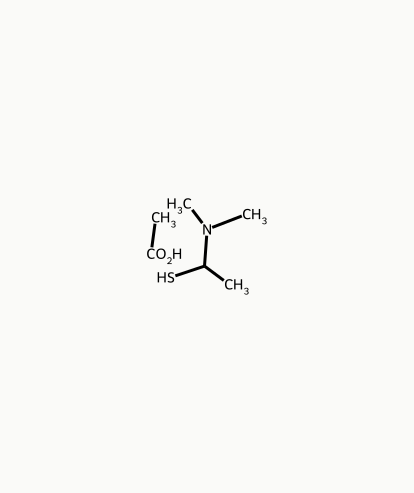 CC(=O)O.CC(S)N(C)C